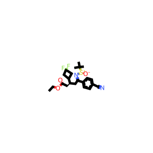 CCOC(=O)C[C@H](C/C(=N/[S@@+]([O-])C(C)(C)C)c1ccc(C#N)cc1)C1CC(F)(F)C1